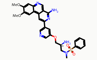 COc1cc2ncc3c(N)nc(-c4cncc(OC[C@@H](N)CN(C)S(=O)(=O)c5ccccc5)c4)cc3c2cc1OC